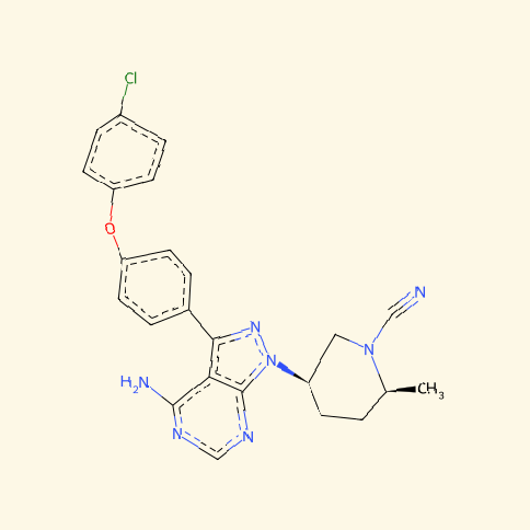 C[C@H]1CC[C@@H](n2nc(-c3ccc(Oc4ccc(Cl)cc4)cc3)c3c(N)ncnc32)CN1C#N